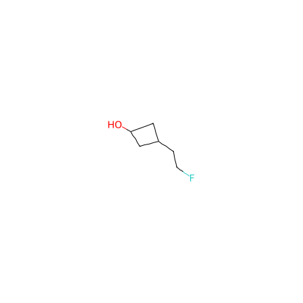 OC1CC(CCF)C1